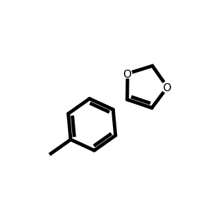 C1=COCO1.Cc1ccccc1